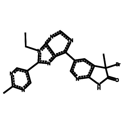 CCn1c(-c2cnc(C)nc2)nc2c(-c3cnc4c(c3)C(C)(Br)C(=O)N4)ncnc21